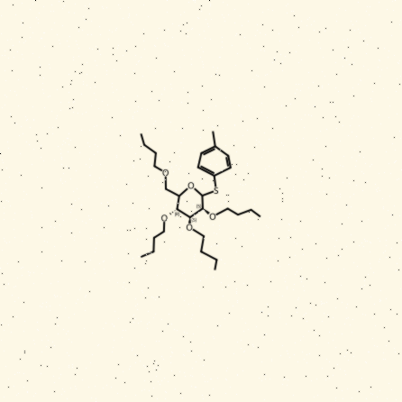 CCCCOCC1OC(Sc2ccc(C)cc2)[C@@H](OCCCC)[C@@H](OCCCC)[C@@H]1OCCCC